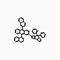 N#Cc1ccc2c(c1)C1(c3ccccc3S2)c2cc(-c3ccc4c(C5=CC6C=CC=CC6C=C5)c5ccccc5c(-c5cccc6ccccc56)c4c3)ccc2C2C=CC=CC21